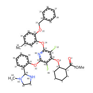 COC(=O)C1CCCCC1Oc1c(F)c(Oc2cc(C#N)ccc2OCc2ccccc2)nc(Oc2ccccc2C2NCCN2C)c1F